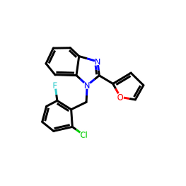 Fc1cccc(Cl)c1Cn1c(-c2ccco2)nc2ccccc21